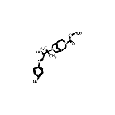 CC(C)(C)OC(=O)N1CC2CC(C1)CN(C(C)(C)C(O)COc1ccc(C#N)cc1)C2